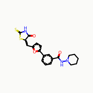 O=C1NC(=S)SC1=Cc1ccc(-c2cccc(C(=O)NN3CCCCC3)c2)o1